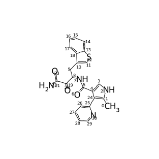 Cc1[nH]cc(C(=O)NC(Cc2csc3ccccc23)C(=O)C(N)=O)c1-c1ccccn1